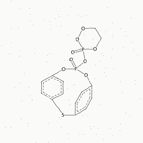 O=P1(OP2(=O)Oc3ccc(cc3)Sc3ccc(cc3)O2)OCCOO1